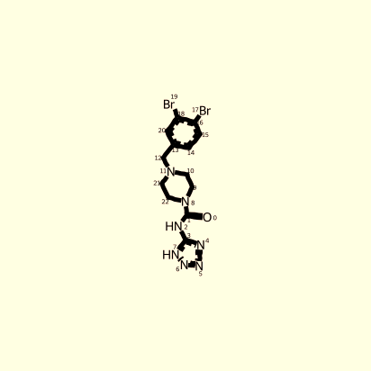 O=C(Nc1nnn[nH]1)N1CCN(Cc2ccc(Br)c(Br)c2)CC1